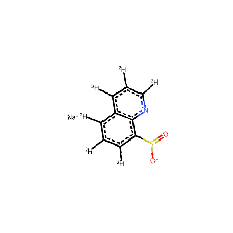 [2H]c1nc2c(S(=O)[O-])c([2H])c([2H])c([2H])c2c([2H])c1[2H].[Na+]